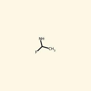 CC([NH])F